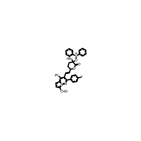 CCCCC1(O[SiH](c2ccccc2)c2ccccc2)CCC(C=Cc2c(-c3ccc(F)cc3)nn3c(C=O)ccc3c2C(C)C)OC1=O